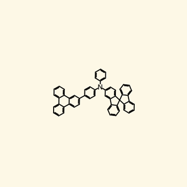 c1ccc(N(c2ccc(-c3ccc4c5ccccc5c5ccccc5c4c3)cc2)c2ccc3c(c2)-c2ccccc2C32c3ccccc3-c3ccccc32)cc1